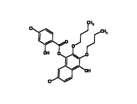 CCCCOc1c(OCCCC)c(OC(=O)c2ccc(Cl)cc2O)c2cc(Cl)ccc2c1O